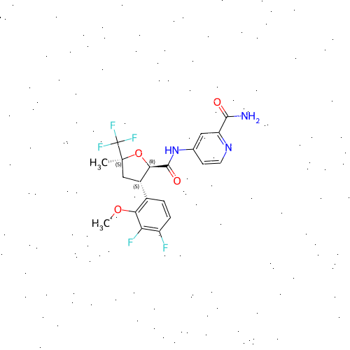 COc1c([C@@H]2C[C@@](C)(C(F)(F)F)O[C@H]2C(=O)Nc2ccnc(C(N)=O)c2)ccc(F)c1F